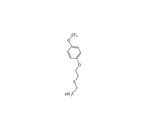 O=C(O)CSCCOc1ccc(OC(F)(F)F)cc1